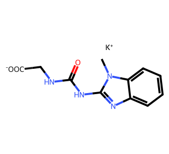 Cn1c(NC(=O)NCC(=O)[O-])nc2ccccc21.[K+]